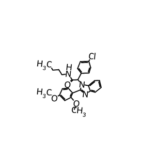 CCCCNC(=O)C(c1ccc(Cl)cc1)n1c(-c2ccc(OC)cc2OC)nc2ccccc21